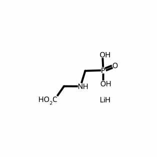 O=C(O)CNCP(=O)(O)O.[LiH]